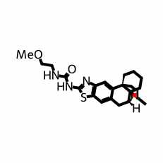 COCCNC(=O)Nc1nc2cc3c(cc2s1)C[C@@H]1[C@@H]2CCCC[C@]32CCN1C